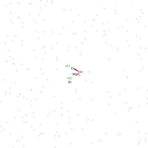 CCO.Cl.Cl.[MgH2].[Zn]